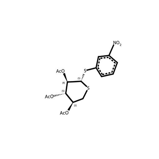 CC(=O)O[C@@H]1[C@@H](OC(C)=O)[C@H](Sc2cccc([N+](=O)[O-])c2)SC[C@H]1OC(C)=O